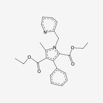 CCOC(=O)c1c(-c2ccccc2)c(C(=O)OCC)n(Cc2ccccn2)c1C